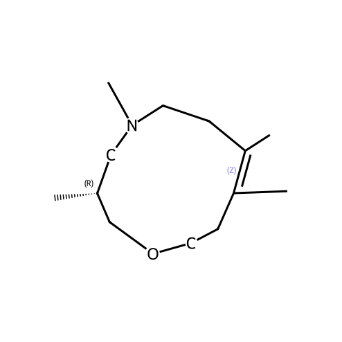 C/C1=C(\C)CCN(C)C[C@@H](C)COCC1